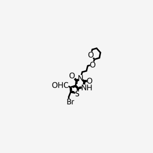 O=Cc1c(CBr)sc2[nH]c(=O)n(CCCOC3CCCCO3)c(=O)c12